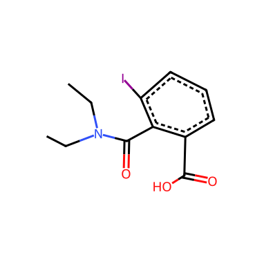 CCN(CC)C(=O)c1c(I)cccc1C(=O)O